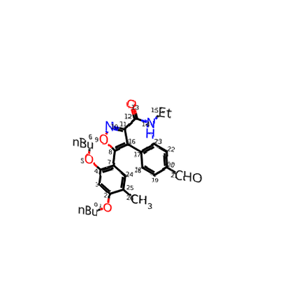 CCCCOc1cc(OCCCC)c(-c2onc(C(=O)NCC)c2-c2ccc(C=O)cc2)cc1C